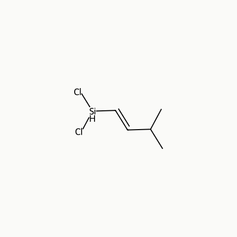 CC(C)C=C[SiH](Cl)Cl